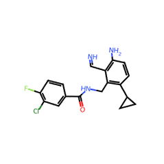 N=Cc1c(N)ccc(C2CC2)c1CNC(=O)c1ccc(F)c(Cl)c1